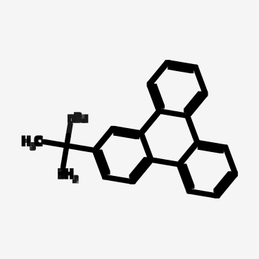 BC(C)(CCCC)c1ccc2c3ccccc3c3ccccc3c2c1